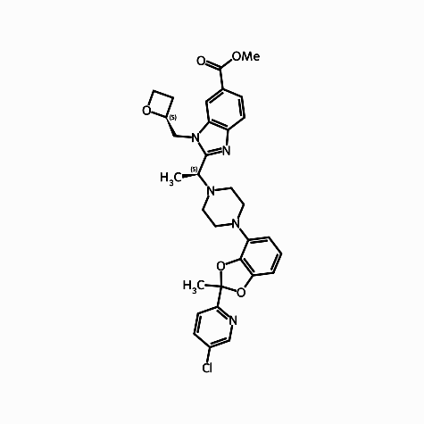 COC(=O)c1ccc2nc([C@H](C)N3CCN(c4cccc5c4OC(C)(c4ccc(Cl)cn4)O5)CC3)n(C[C@@H]3CCO3)c2c1